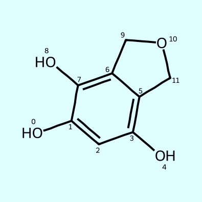 Oc1cc(O)c2c(c1O)COC2